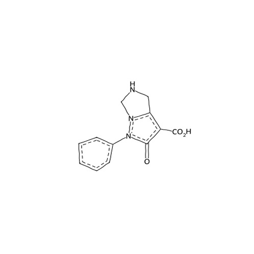 O=C(O)c1c2n(n(-c3ccccc3)c1=O)CNC2